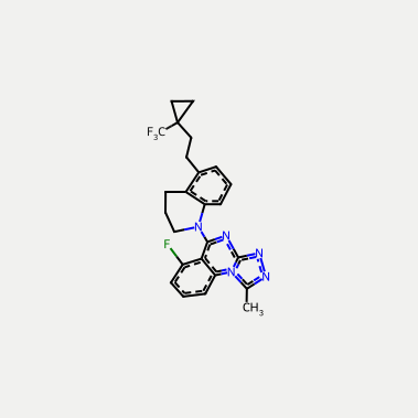 Cc1nnc2nc(N3CCCc4c(CCC5(C(F)(F)F)CC5)cccc43)c3c(F)cccc3n12